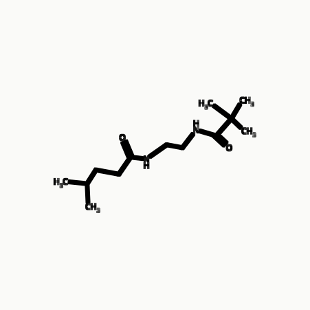 CC(C)CCC(=O)NCCNC(=O)C(C)(C)C